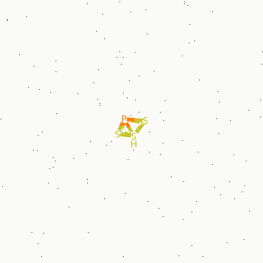 S1P234S[SH]12(S3)S4